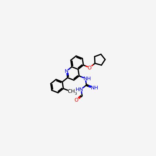 Cc1ccccc1-c1cc(NC(=N)NC=O)c2c(OC3CCCC3)cccc2n1